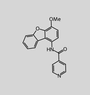 COc1ccc(NC(=O)c2ccncc2)c2c1oc1ccccc12